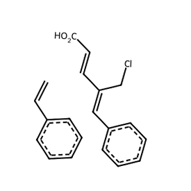 C=Cc1ccccc1.O=C(O)C=CC(=Cc1ccccc1)CCl